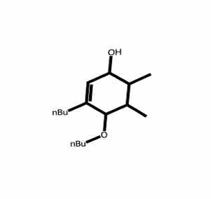 CCCCOC1C(CCCC)=CC(O)C(C)C1C